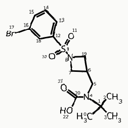 CC(C)(C)N(CC1CN(S(=O)(=O)c2cccc(Br)c2)C1)C(=O)O